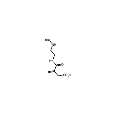 C=C(CC(=O)O)C(=O)NCCNC(C)(C)C